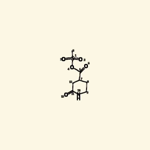 CS(=O)(=O)OC(=O)C1CCNC(=O)C1